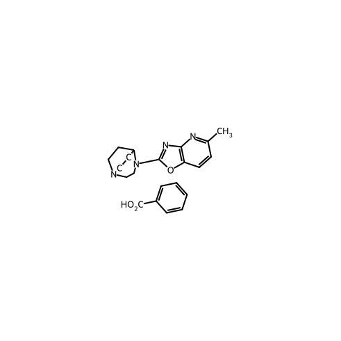 Cc1ccc2oc(N3CCN4CCC3CC4)nc2n1.O=C(O)c1ccccc1